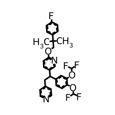 CC(C)(COc1ccc(C(Cc2ccncc2)c2ccc(OC(F)F)c(OC(F)F)c2)cn1)c1ccc(F)cc1